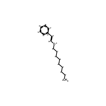 CCCCCCCCCOC=Cc1ccccc1